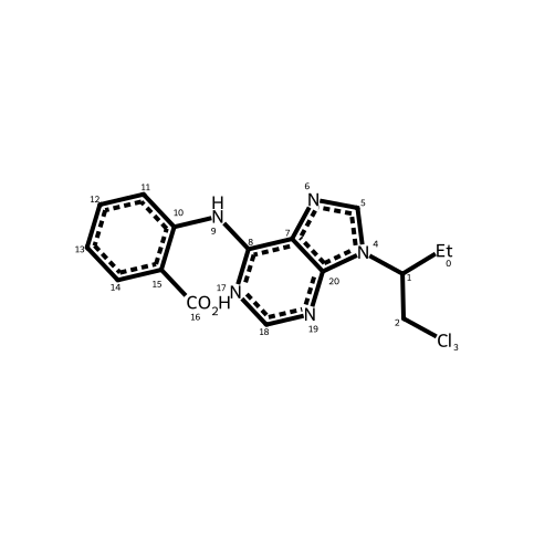 CCC(CCl)n1cnc2c(Nc3ccccc3C(=O)O)ncnc21